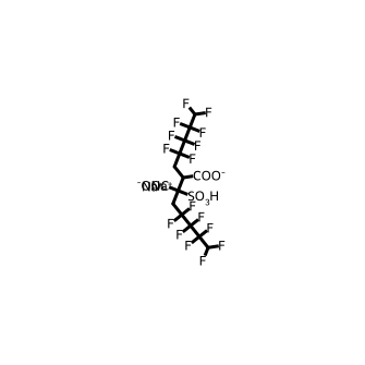 O=C([O-])C(CC(F)(F)C(F)(F)C(F)(F)C(F)F)C(CC(F)(F)C(F)(F)C(F)(F)C(F)F)(C(=O)[O-])S(=O)(=O)O.[Na+].[Na+]